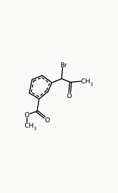 COC(=O)c1cccc(C(Br)C(C)=O)c1